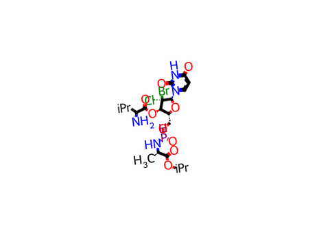 CC(C)OC(=O)[C@H](C)N[PH](=O)OC[C@H]1O[C@@H](n2ccc(=O)[nH]c2=O)[C@](Cl)(Br)[C@@H]1OC(=O)C(N)C(C)C